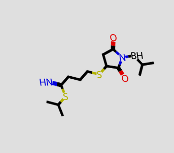 CC(C)BN1C(=O)CC(SCCCC(=N)SC(C)C)C1=O